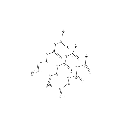 C=CCCC(=O)CC(=O)[O-].C=CCCC(=O)CC(=O)[O-].C=CCCC(=O)CC(=O)[O-].[Fe+3]